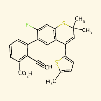 C#Cc1c(C(=O)O)cccc1-c1cc2c(cc1F)SC(C)(C)C=C2c1ccc(C)s1